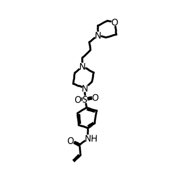 C=CC(=O)Nc1ccc(S(=O)(=O)N2CCN(CCCN3CCOCC3)CC2)cc1